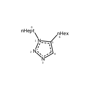 CCCCCCCn1nncc1CCCCCC